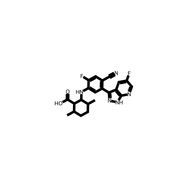 CC1CCC(C)C(C(=O)O)C1Nc1cc(-c2n[nH]c3ncc(F)cc23)c(C#N)cc1F